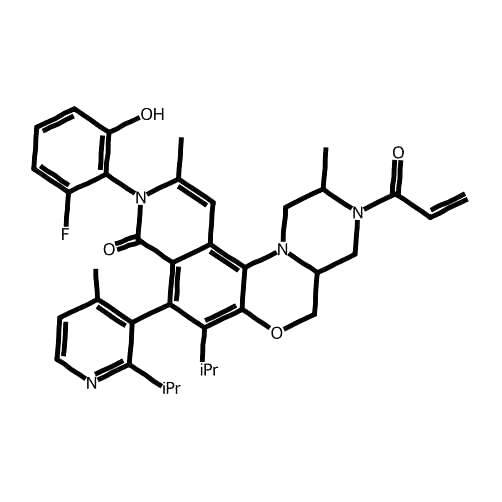 C=CC(=O)N1CC2COc3c(C(C)C)c(-c4c(C)ccnc4C(C)C)c4c(=O)n(-c5c(O)cccc5F)c(C)cc4c3N2CC1C